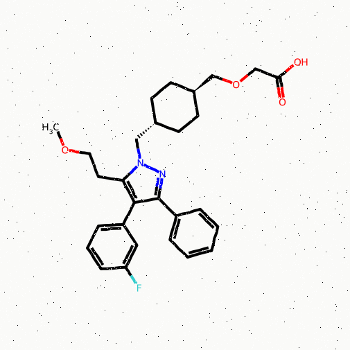 COCCc1c(-c2cccc(F)c2)c(-c2ccccc2)nn1C[C@H]1CC[C@H](COCC(=O)O)CC1